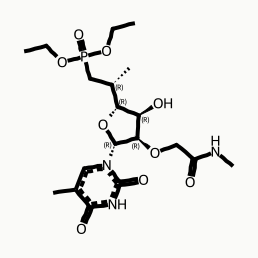 CCOP(=O)(C[C@H](C)[C@H]1O[C@@H](n2cc(C)c(=O)[nH]c2=O)[C@H](OCC(=O)NC)[C@@H]1O)OCC